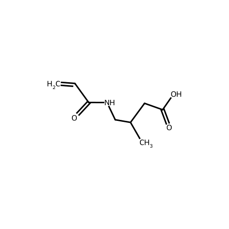 C=CC(=O)NCC(C)CC(=O)O